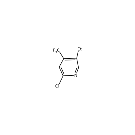 CCc1cnc(Cl)cc1C(F)(F)F